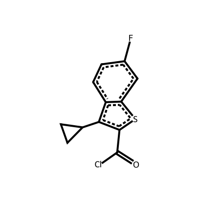 O=C(Cl)c1sc2cc(F)ccc2c1C1CC1